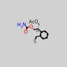 CC(=O)OC[C@@H](COC(N)=O)c1ccccc1C=S